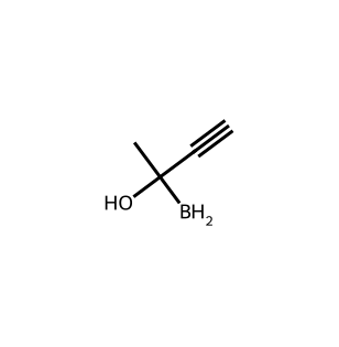 BC(C)(O)C#C